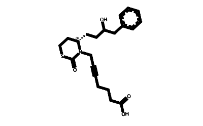 O=C(O)CCCC#CCN1C(=O)SCC[C@@H]1CCC(O)Cc1ccccc1